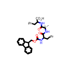 CC(C)CC(NC(=O)[C@H](C)NC(=O)C(CC(C)C)NC(=O)OCC1c2ccccc2-c2ccccc21)C(=O)O